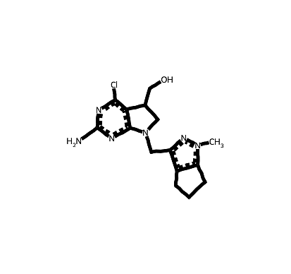 Cn1nc(CN2CC(CO)c3c(Cl)nc(N)nc32)c2c1CCC2